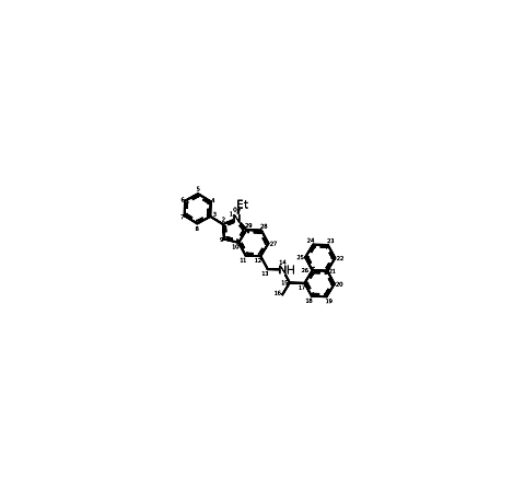 CCn1c(-c2ccccc2)cc2cc(CNC(C)c3cccc4ccccc34)ccc21